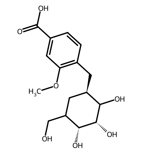 COc1cc(C(=O)O)ccc1C[C@@H]1CC(CO)[C@@H](O)[C@@H](O)C1O